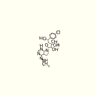 CN/N=C1/N=CNC2C1CCN2[C@@H]1O[C@H]([C@H](O)c2ccc(Cl)cc2)[C@@](C)(O)[C@H]1O